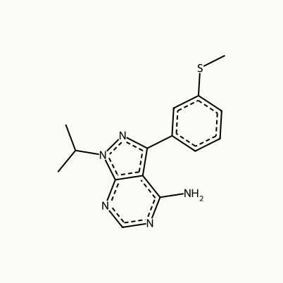 CSc1cccc(-c2nn(C(C)C)c3ncnc(N)c23)c1